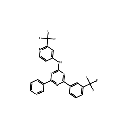 FC(F)(F)c1cc(Nc2nc(-c3cccnc3)nc(-c3cccc(C(F)(F)F)n3)n2)ccn1